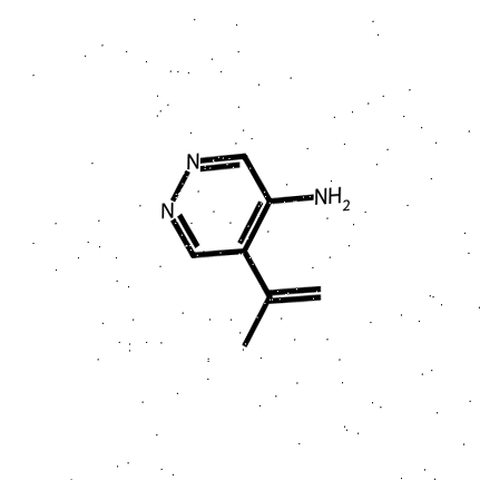 C=C(C)c1cnncc1N